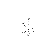 N=C[C@H](CCl)[C@H](CCl)C1CC(Cl)C[C@H](Cl)C1